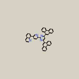 c1cnc2c(-c3ccc(-c4nc(-c5cc6ccccc6c6ccccc56)cc(-c5cc6ccccc6c6ccccc56)n4)nc3)cccc2c1